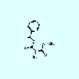 CCCCOC(=O)C(CC)C(=O)OC(C)c1ccccc1